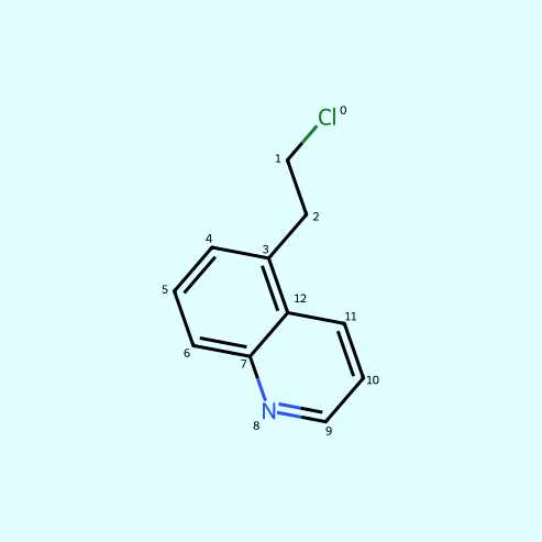 ClCCc1cccc2ncccc12